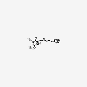 CC(C)(C)OC(=O)N[C@@H](CCSCCCc1cn[nH]c1)C(=O)OC(C)(C)C